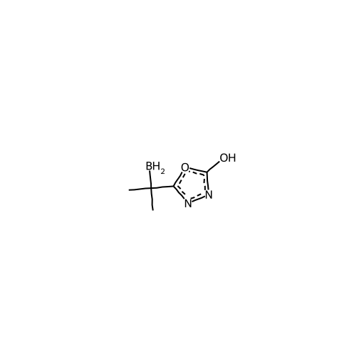 BC(C)(C)c1nnc(O)o1